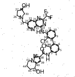 O=C(Nc1cccc(-c2cccc(Nc3nc(C(F)F)nc4cc(CN5CC[C@@H](O)C5)cnc34)c2Cl)c1Cl)c1cc2n(n1)CCCC2O